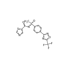 CS(=O)(=NC(=O)c1cncs1)c1ccc(-c2noc(C(F)(F)F)n2)cc1